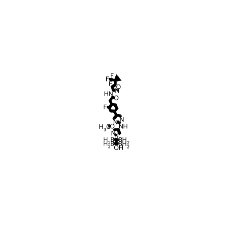 BC(B)(O)C(B)(B)n1cc(Nc2ncc(-c3ccc(CC(=O)Nc4cc(C5(C(F)(F)F)CC5)on4)c(F)c3)cn2)c(OC)n1